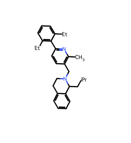 CCc1cccc(CC)c1-c1ccc(CN2CCc3ccccc3C2CC(C)C)c(C)n1